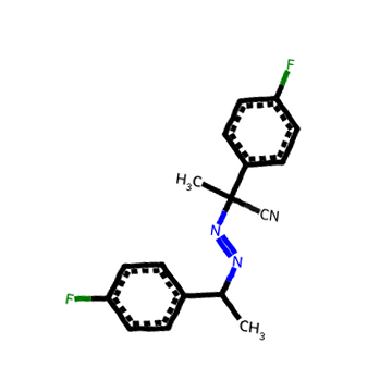 CC(N=NC(C)(C#N)c1ccc(F)cc1)c1ccc(F)cc1